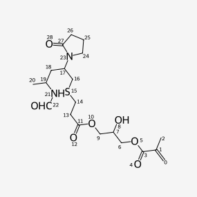 C=C(C)C(=O)OCC(O)COC(=O)CCSCC(CC(C)NC=O)N1CCCC1=O